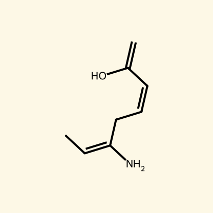 C=C(O)/C=C\C/C(N)=C\C